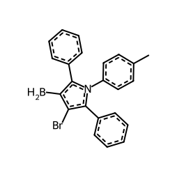 Bc1c(Br)c(-c2ccccc2)n(-c2ccc(C)cc2)c1-c1ccccc1